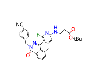 Cc1cccc2c(=O)n(Cc3ccc(C#N)cc3)nc(-c3ccc(NCCC(=O)OC(C)(C)C)nc3F)c12